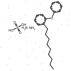 CCCCCCCCCc1ccccc1Oc1ccccc1.N.N.O=S(=O)(O)O